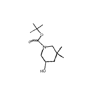 CC1(C)CC(O)CN(C(=O)OC(C)(C)C)C1